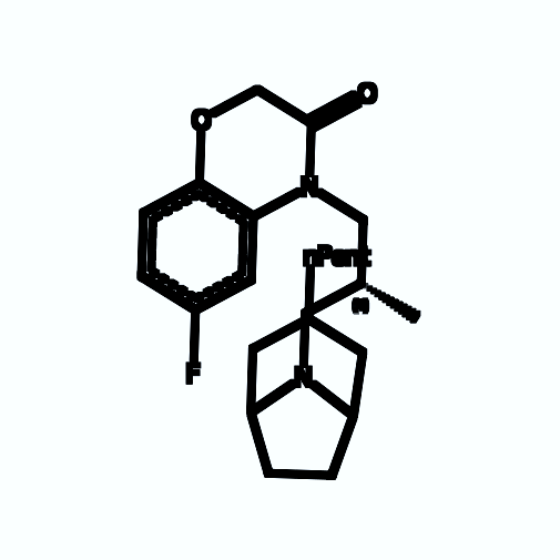 CCCCCC1CC2CCC(C1)N2C[C@@H](C)CN1C(=O)COc2ccc(F)cc21